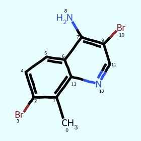 Cc1c(Br)ccc2c(N)c(Br)cnc12